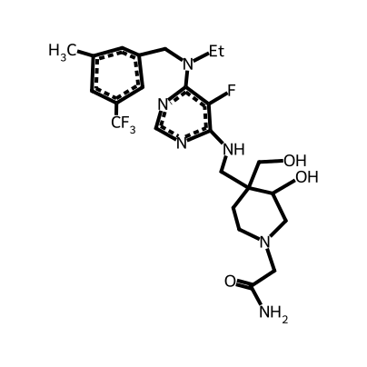 CCN(Cc1cc(C)cc(C(F)(F)F)c1)c1ncnc(NCC2(CO)CCN(CC(N)=O)CC2O)c1F